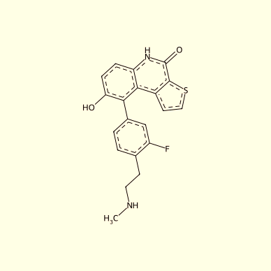 CNCCc1ccc(-c2c(O)ccc3[nH]c(=O)c4sccc4c23)cc1F